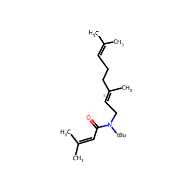 CC(C)=CCC/C(C)=C/CN(C(=O)C=C(C)C)C(C)(C)C